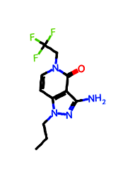 CCCn1nc(N)c2c(=O)n(CC(F)(F)F)ccc21